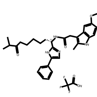 COc1ccc2[nH]c(C)c(CC(=O)N[C@@H](CCCCCC(=O)C(C)C)c3ncc(-c4ccccc4)[nH]3)c2c1.O=C(O)C(F)(F)F